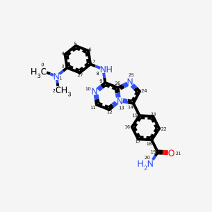 CN(C)c1cccc(Nc2nccn3c(-c4ccc(C(N)=O)cc4)cnc23)c1